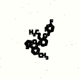 CCCC1[C@@H](OCc2ccc(F)cn2)CCCN1C(=O)c1cc(C)ccc1-c1nccs1